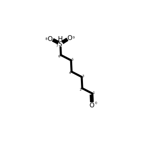 O=CCCCCC[SH](=O)=O